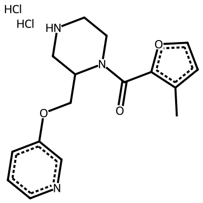 Cc1ccoc1C(=O)N1CCNCC1COc1cccnc1.Cl.Cl